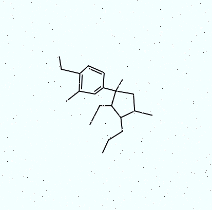 CCCC1C(C)CC(C)(c2ccc(CC)c(C)c2)C1CC